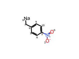 O=[N+]([O-])c1ccc([CH2][Na])cc1